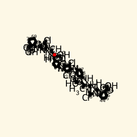 CC(CNc1ccc2c(c1S(=O)(=O)O)Oc1c(Cl)c3c(c(Cl)c1=N2)Oc1c(ccc(NCC(C)Nc2nc(Cl)nc(Nc4ccccc4S(=O)(=O)O)n2)c1S(=O)(=O)O)N=3)Nc1nc(Cl)nc(Nc2ccccc2S(=O)(=O)O)n1